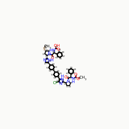 COC(=O)NC(C(=O)N1CCCC1c1nc(Cl)c(-c2ccc(-c3ccc(-c4cnc([C@@H]5C[C@H](SC)CN5C(=O)[C@@H](NC(=O)O)c5ccccc5)[nH]4)cc3)cc2)[nH]1)c1ccccc1